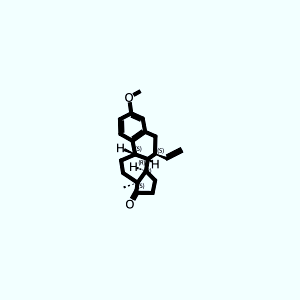 C=C[C@@H]1Cc2cc(OC)ccc2[C@H]2CC[C@]3(C)C(=O)CC[C@@H]3[C@H]12